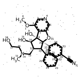 COc1cncc2c1[C@]1(O)[C@H](O)[C@H](CN(C)CCO)C(c3ccccc3)[C@]1(c1ccc(C#N)cc1)O2